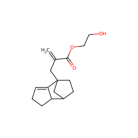 C=C(CC12CCC(C1)C1CCC=C12)C(=O)OCCO